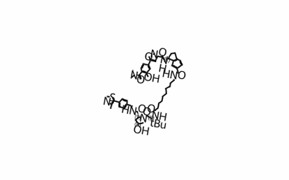 Cc1ncsc1-c1ccc(CNC(=O)[C@@H]2C[C@@H](O)CN2C(=O)[C@@H](NC(=O)CCCCCCCCCNC(=O)c2ccc3c(c2)[C@H](NC(=O)c2cc(-c4ccc(C(=O)N(C)C)c(O)c4)on2)CC3)C(C)(C)C)cc1